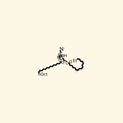 CC/C=C\C/C=C\C/C=C\C/C=C\CCCCC(=O)OC[C@H](COP(=O)(O)OCC[N+](C)(C)C)OC(=O)CCCCCCCCCCC/C=C\CCCCCCCC